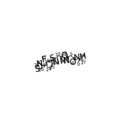 CC1(NC(=O)Cc2nnc(Cc3nc4c(s3)=C(F)C(C3CSC=N3)CC=4)o2)CC1